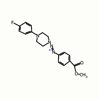 COC(=O)c1ccc(/N=N/N2CCN(c3ccc(F)cc3)CC2)cc1